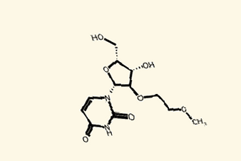 COCCOC1[C@@H](O)[C@@H](CO)O[C@H]1n1ccc(=O)[nH]c1=O